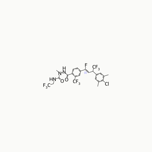 Cc1cc(C(/C=C(\F)c2ccc(C(=O)NN(C)C(=O)NCC(F)(F)F)c(C(F)(F)F)c2)C(F)(F)F)cc(C)c1Cl